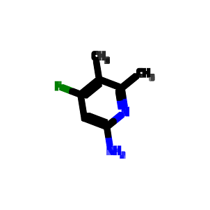 Cc1nc(N)cc(F)c1C